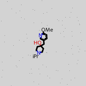 COc1ccc(CC2(O)CCN(C(C)C)CC2)cn1